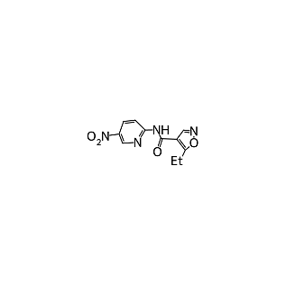 CCc1oncc1C(=O)Nc1ccc([N+](=O)[O-])cn1